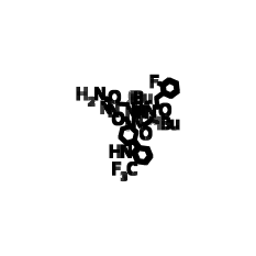 CCC(C)[C@H](NC(=O)Cc1ccccc1F)C(=O)N[C@]1(C(=O)NC(c2nnc(N)o2)[C@@H](C)CC)CCc2[nH]c3c(C(F)(F)F)cccc3c2C1